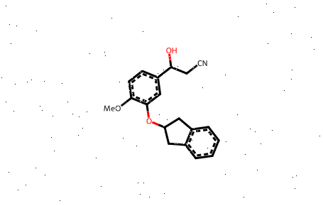 COc1ccc(C(O)CC#N)cc1OC1Cc2ccccc2C1